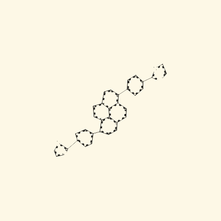 c1coc(-c2ccc(-c3ccc4ccc5c(-c6ccc(-c7ncco7)cc6)ccc6ccc3c4c65)cc2)n1